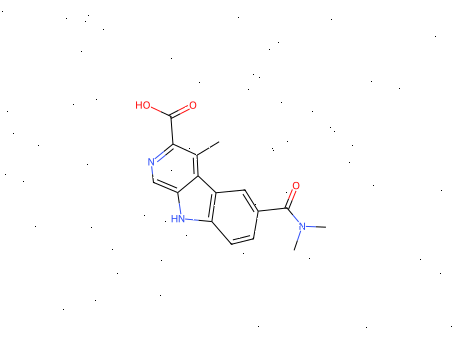 Cc1c(C(=O)O)ncc2[nH]c3ccc(C(=O)N(C)C)cc3c12